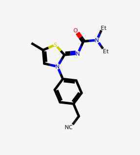 CCN(CC)C(=O)/N=c1\sc(C)cn1-c1ccc(CC#N)cc1